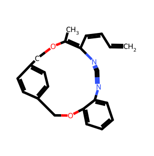 C=C/C=C\C1=C(/C)OCc2ccc(cc2)COc2ccccc2N=C=N1